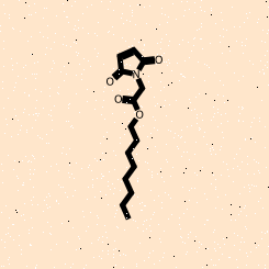 CCCCCCCCOC(=O)CN1C(=O)C=CC1=O